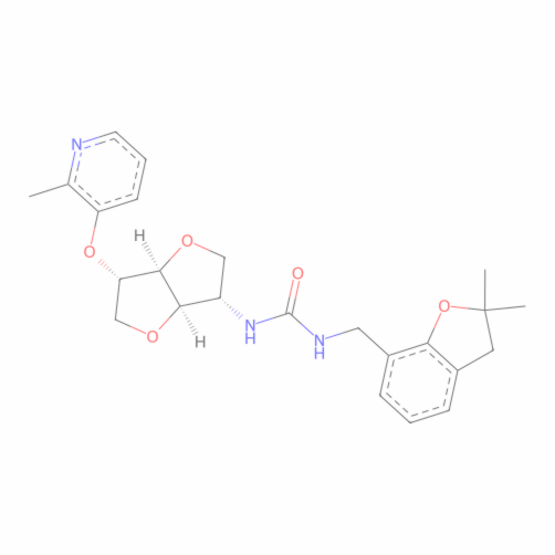 Cc1ncccc1O[C@H]1CO[C@H]2[C@@H]1OC[C@@H]2NC(=O)NCc1cccc2c1OC(C)(C)C2